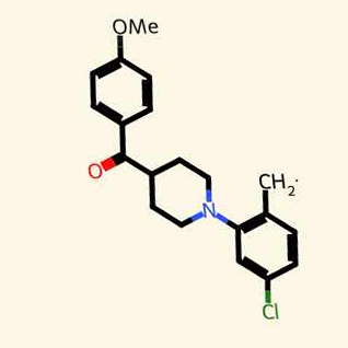 [CH2]c1ccc(Cl)cc1N1CCC(C(=O)c2ccc(OC)cc2)CC1